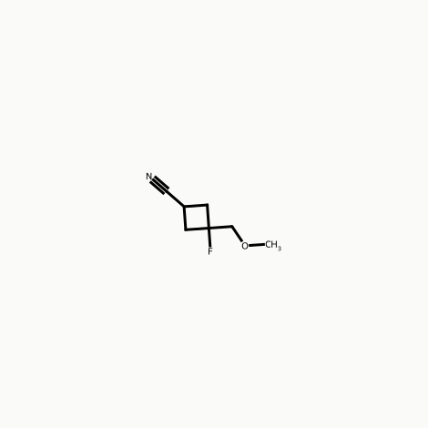 COCC1(F)CC(C#N)C1